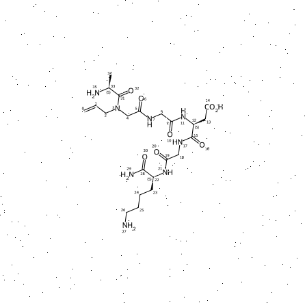 C=CCN(CC(=O)NCC(=O)N[C@@H](CC(=O)O)C(=O)NCC(=O)N[C@@H](CCCCN)C(N)=O)C(=O)[C@H](C)N